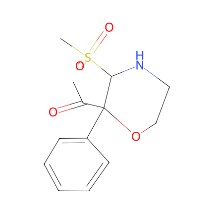 CC(=O)C1(c2ccccc2)OCCNC1S(C)(=O)=O